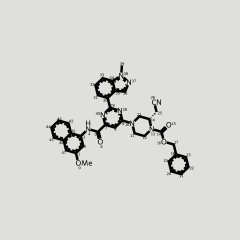 COc1cc(NC(=O)c2cc(N3CCN(C(=O)OCc4ccccc4)[C@@H](CC#N)C3)nc(-c3cccc4c3cnn4C)n2)c2ccccc2c1